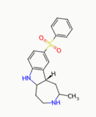 CC1C[C@H]2c3cc(S(=O)(=O)c4ccccc4)ccc3NC2CCN1